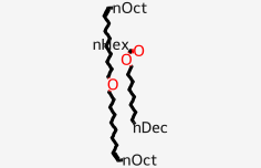 CCCCCCCC/C=C\CCCCCCCCOCCCCCCCC/C=C\CCCCCCCC.CCCCCCCCCCCCCCCCCCOC(=O)CCCCCC